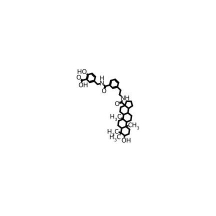 CC1(C)C(O)CCC2(C)C1CCC1(C)C3CCC4(C(=O)NCCc5cccc(C(=O)NCc6ccc(O)c(C(=O)O)c6)c5)CCCC4C3CCC12